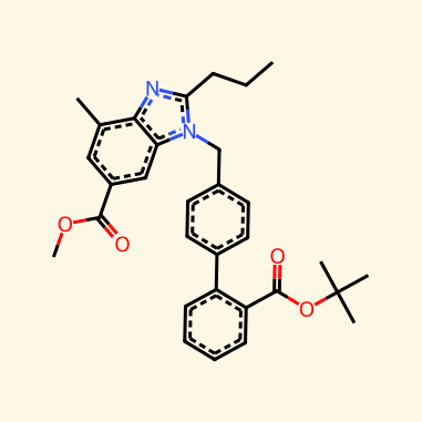 CCCc1nc2c(C)cc(C(=O)OC)cc2n1Cc1ccc(-c2ccccc2C(=O)OC(C)(C)C)cc1